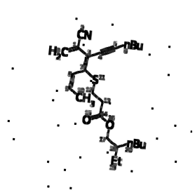 C=C(C#N)/C(C#CCCCC)=C(\C=C/C)SCCC(=O)OCC(CC)CCCC